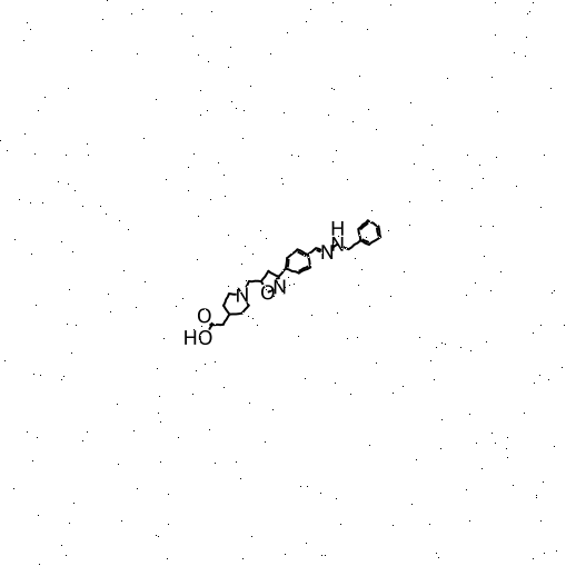 O=C(O)CC1CCN(CC2CC(c3ccc(C=NNCc4ccccc4)cc3)=NO2)CC1